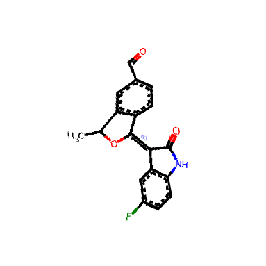 CC1O/C(=C2/C(=O)Nc3ccc(F)cc32)c2ccc(C=O)cc21